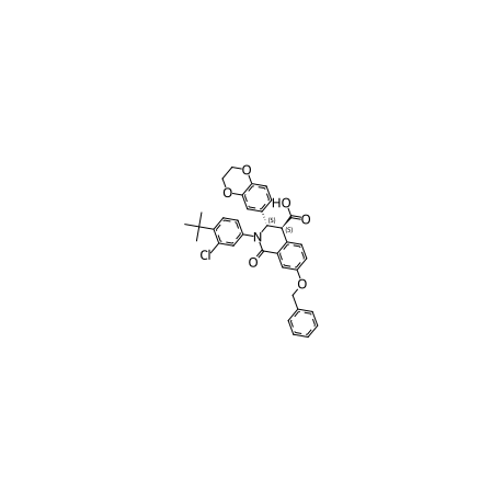 CC(C)(C)c1ccc(N2C(=O)c3cc(OCc4ccccc4)ccc3[C@H](C(=O)O)[C@H]2c2ccc3c(c2)OCCO3)cc1Cl